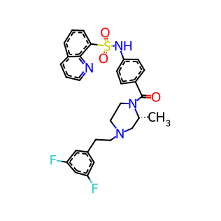 C[C@@H]1CN(CCc2cc(F)cc(F)c2)CCN1C(=O)c1ccc(NS(=O)(=O)c2cccc3cccnc23)cc1